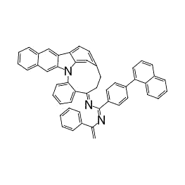 C=C(/N=C(\N=C1/CCc2ccc3c4cc5ccccc5cc4n(c3c2)-c2ccccc21)c1ccc(-c2cccc3ccccc23)cc1)c1ccccc1